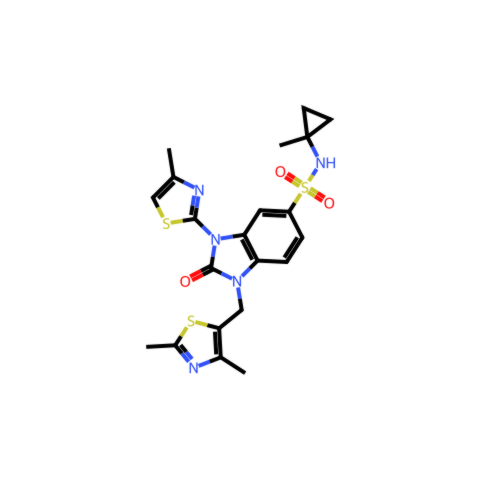 Cc1csc(-n2c(=O)n(Cc3sc(C)nc3C)c3ccc(S(=O)(=O)NC4(C)CC4)cc32)n1